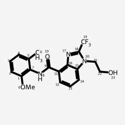 COc1cccc(C)c1NC(=O)c1cccc2c1nc(C(F)(F)F)n2CCO